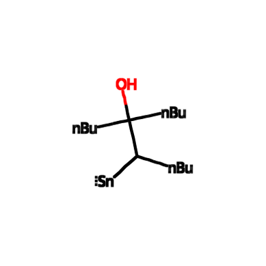 CCCC[CH]([Sn])C(O)(CCCC)CCCC